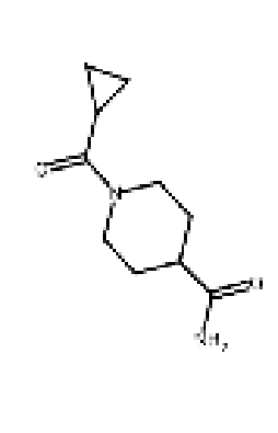 NC(=O)C1CCN(C(=O)C2CC2)CC1